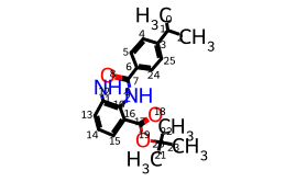 CC(C)c1ccc(C(=O)Nc2c(N)cccc2C(=O)OC(C)(C)C)cc1